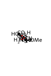 COc1ccc(-c2c(C)sc(NC(=O)c3ccc(C(=O)N[C@@H](CO)C(=O)O)cc3C(N)=O)c2C#N)cc1